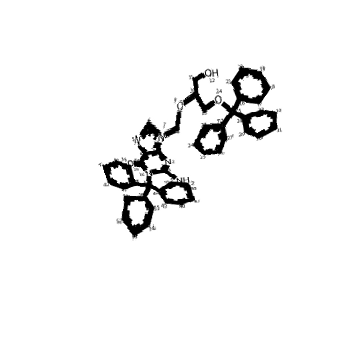 Nc1nc2c(ncn2COC(CO)COC(c2ccccc2)(c2ccccc2)c2ccccc2)c(=O)n1C(c1ccccc1)(c1ccccc1)c1ccccc1